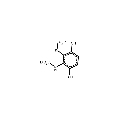 CCOC(=O)Nc1c(O)ccc(O)c1NC(=O)OCC